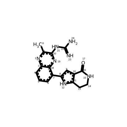 Cc1nc2cccc(-c3cc4c([nH]3)CCNC4=O)c2nc1NC(=N)N